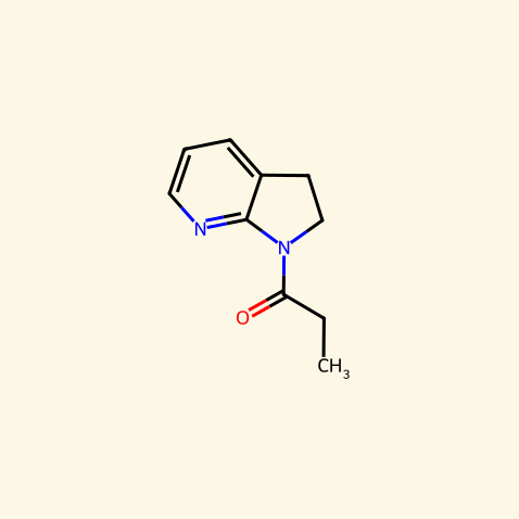 CCC(=O)N1CCc2cccnc21